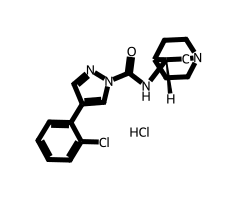 Cl.O=C(N[C@H]1CN2CCC1CC2)n1cc(-c2ccccc2Cl)cn1